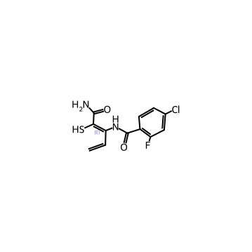 C=C/C(NC(=O)c1ccc(Cl)cc1F)=C(\S)C(N)=O